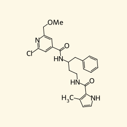 COCc1cc(C(=O)NC(CCNC(=O)c2[nH]ccc2C)Cc2ccccc2)cc(Cl)n1